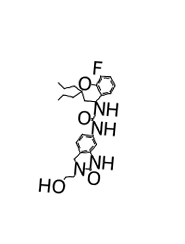 CCCC1(CCC)C[C@@H](NC(=O)Nc2ccc3c(c2)NC(=O)N(CCO)C3)c2cccc(F)c2O1